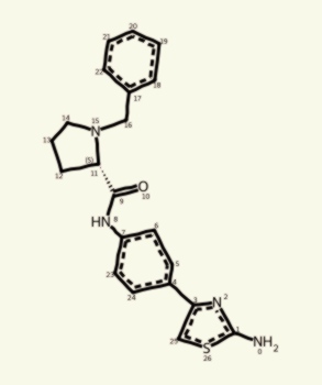 Nc1nc(-c2ccc(NC(=O)[C@@H]3CCCN3Cc3ccccc3)cc2)cs1